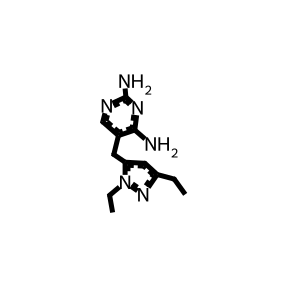 CCc1cc(Cc2cnc(N)nc2N)n(CC)n1